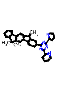 C=C1c2cc(-c3nc(-c4ccccn4)nc(-c4ccccn4)n3)ccc2-c2cc3c(cc21)-c1ccccc1C3(C)C